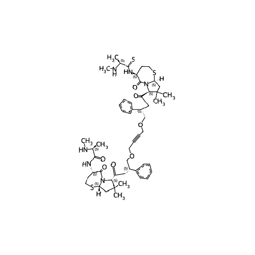 CN[C@@H](C)C(=O)N[C@H]1CCS[C@H]2CC(C)(C)[C@@H](C(=O)C[C@H](COCC#CCOC[C@@H](CC(=O)[C@H]3N4C(=O)[C@@H](NC(=S)[C@H](C)NC)CCS[C@H]4CC3(C)C)c3ccccc3)c3ccccc3)N2C1=O